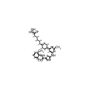 Cc1nc(Nc2ncc(C(=O)Nc3c(C)cccc3Cl)s2)cc(N2CCN(CCCCCC(=O)NO)CC2)n1